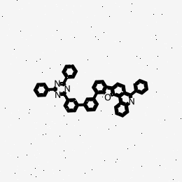 c1ccc(-c2nc(-c3ccccc3)nc(-c3cccc(-c4cccc(-c5cccc6c5oc5c6ccc6c(-c7ccccc7)nc7ccccc7c65)c4)c3)n2)cc1